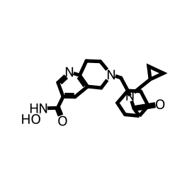 O=C(NO)c1cnc2c(c1)CN(CC13CCC(CC1)C(=O)N3C1CC1)CC2